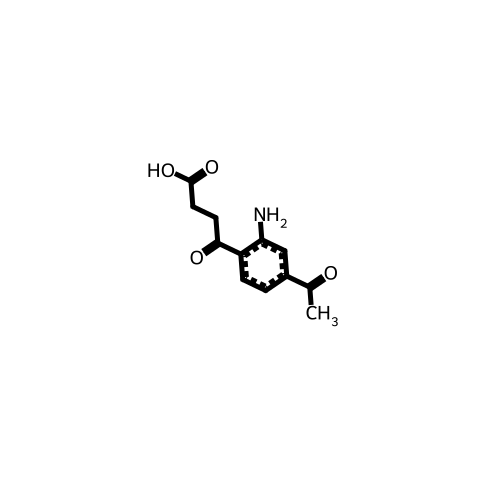 CC(=O)c1ccc(C(=O)CCC(=O)O)c(N)c1